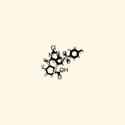 Cc1ccc(S(=O)(=O)n2ccc3c(N(C)[C@H]4CN(C(=O)O)CC[C@H]4C)nc(Cl)nc32)cc1